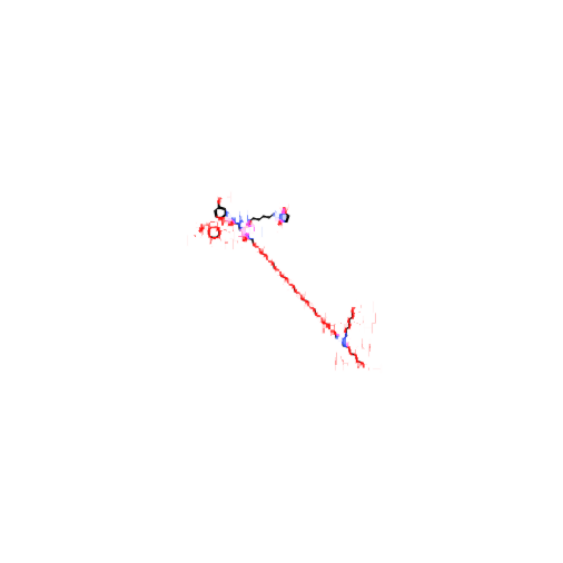 O=C(CCOCCOCCOCCOCCOCCOCCOCCOCCN(C[C@H](O)[C@@H](O)[C@H](O)[C@H](O)CO)C[C@H](O)[C@@H](O)[C@H](O)[C@H](O)CO)NCC(NC(=O)CCCCCN1C(=O)C=CC1=O)C(=O)Nc1cc(CO)ccc1O[C@@H]1O[C@H](C(=O)O)[C@@H](O)[C@H](O)[C@H]1O